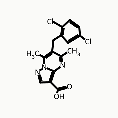 Cc1nc2c(C(=O)O)cnn2c(C)c1Cc1cc(Cl)ccc1Cl